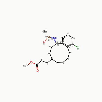 CC(C)(C)OC(=O)CCC1CCCCc2c(Cl)cccc2[C@H](N[S@+]([O-])C(C)(C)C)CC1